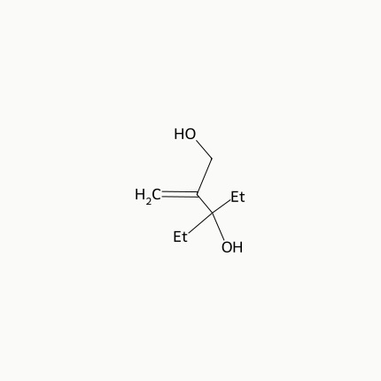 C=C(CO)C(O)(CC)CC